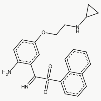 N=C(c1cc(OCCNC2CC2)ccc1N)S(=O)(=O)c1cccc2ccccc12